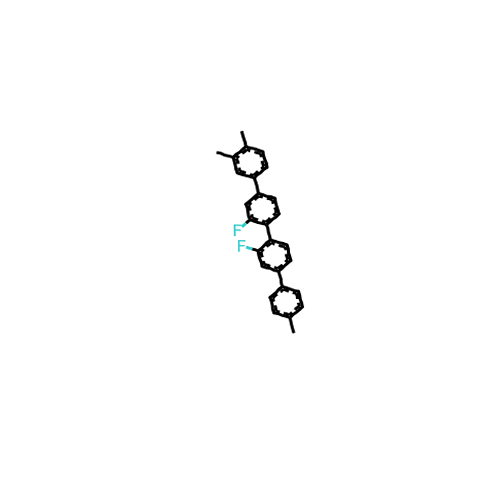 Cc1ccc(-c2ccc(-c3ccc(-c4ccc(C)c(C)c4)cc3F)c(F)c2)cc1